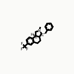 CN1C[C@H]2c3ccc(C(F)(F)F)cc3CCC2[C@H]1Cc1ccccc1